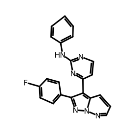 Fc1ccc(-c2nn3ncccc3c2-c2ccnc(Nc3ccccc3)n2)cc1